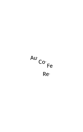 [Au].[Co].[Fe].[Re]